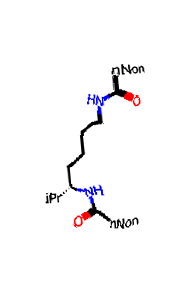 CCCCCCCCCC(=O)NCCCC[C@H](NC(=O)CCCCCCCCC)C(C)C